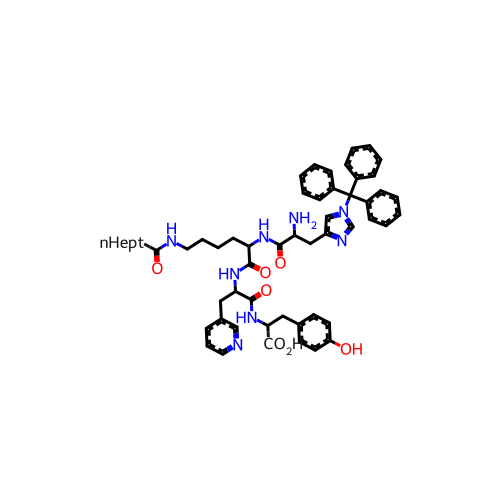 CCCCCCCC(=O)NCCCCC(NC(=O)C(N)Cc1cn(C(c2ccccc2)(c2ccccc2)c2ccccc2)cn1)C(=O)NC(Cc1cccnc1)C(=O)NC(Cc1ccc(O)cc1)C(=O)O